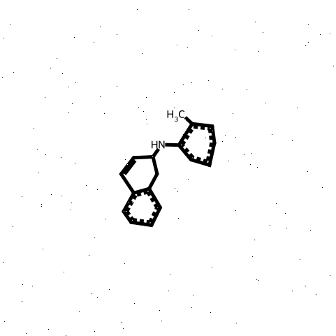 Cc1ccccc1NC1C=Cc2ccccc2C1